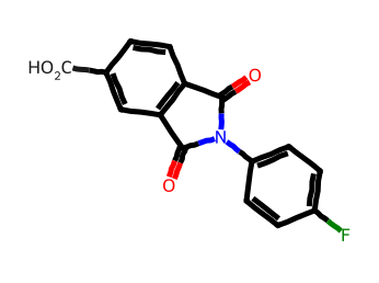 O=C(O)c1ccc2c(c1)C(=O)N(c1ccc(F)cc1)C2=O